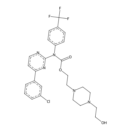 O=C(OCCN1CCN(CCO)CC1)N(c1ccc(C(F)(F)F)cc1)c1nccc(-c2cccc(Cl)c2)n1